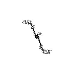 CCCCCCCCOC(CCC(=O)OCCCCCOc1ccc(OCCCCCOC(=O)CCC(OCCCCCCCC)OCCCCCCCC)c(CO)c1)OCCCCCCCC